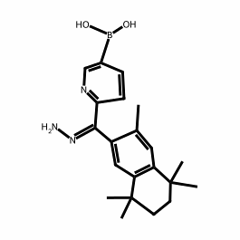 Cc1cc2c(cc1/C(=N/N)c1ccc(B(O)O)cn1)C(C)(C)CCC2(C)C